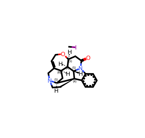 CI.O=C1C[C@@H]2OCC=C3CN4CC[C@]56c7ccccc7N1[C@H]5[C@H]2[C@H]3C[C@H]46